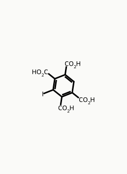 O=C(O)c1cc(C(=O)O)c(C(=O)O)c(I)c1C(=O)O